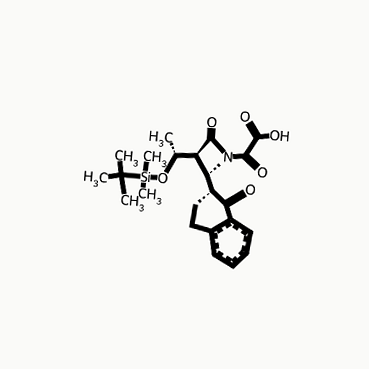 C[C@@H](O[Si](C)(C)C(C)(C)C)[C@H]1C(=O)N(C(=O)C(=O)O)[C@@H]1[C@H]1CCc2ccccc2C1=O